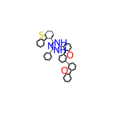 C1=C(C2=NC(c3ccccc3)NC(c3cccc4oc5c(-c6cccc7c6oc6ccccc67)cccc5c34)N2)c2c(sc3ccccc23)CC1